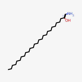 CCCCCCCCCCCCCCCCCCCCCCCCC/C(O)=C/N